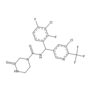 O=C1CN(C(=O)NC(c2cnc(C(F)(F)F)c(Cl)c2)c2ccc(F)c(Cl)c2F)CCN1